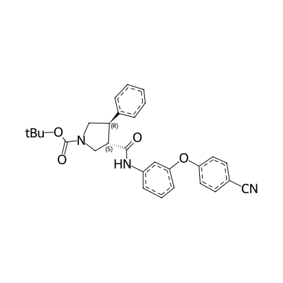 CC(C)(C)OC(=O)N1C[C@@H](C(=O)Nc2cccc(Oc3ccc(C#N)cc3)c2)[C@H](c2ccccc2)C1